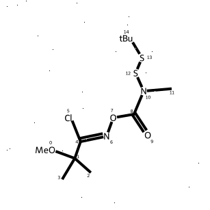 COC(C)(C)C(Cl)=NOC(=O)N(C)SSC(C)(C)C